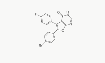 O=c1[nH]cnc2oc(-c3ccc(Br)cc3)c(-c3ccc(F)cc3)c12